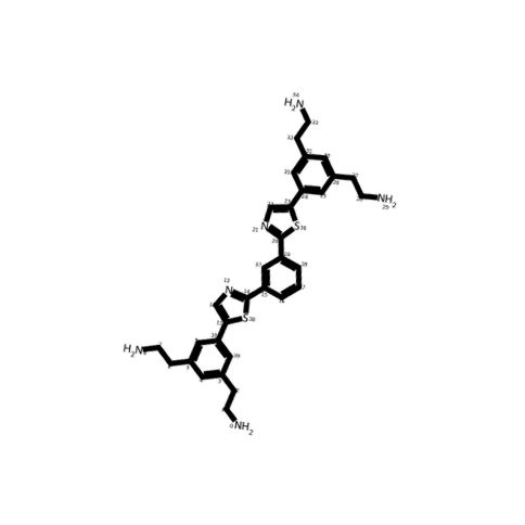 NCCc1cc(CCN)cc(-c2cnc(-c3cccc(-c4ncc(-c5cc(CCN)cc(CCN)c5)s4)c3)s2)c1